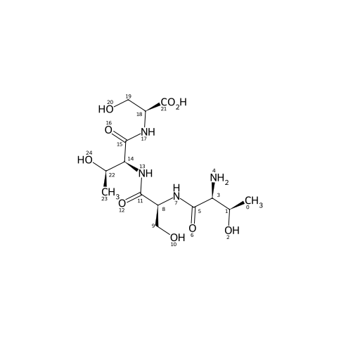 C[C@@H](O)[C@H](N)C(=O)N[C@@H](CO)C(=O)N[C@H](C(=O)N[C@@H](CO)C(=O)O)[C@@H](C)O